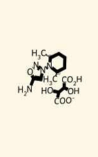 C[C@@H]1CCC[C@H](C)N1[n+]1cc(N)on1.O=C([O-])C(O)C(O)C(=O)O